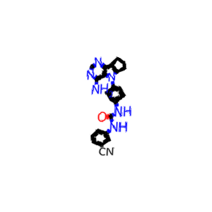 N#Cc1cccc(NC(=O)Nc2ccc(-n3c4c(c5ncnc(N)c53)CCC4)cc2)c1